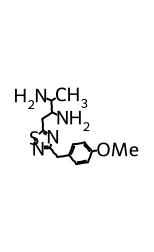 COc1ccc(Cc2nsc(CC(N)C(C)N)n2)cc1